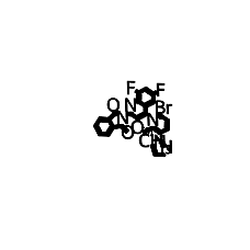 C[C@H](Oc1cc2cc(F)cc(F)c2nc1N1C(=O)c2ccccc2C1=O)c1nc(Br)ccc1-n1cccn1